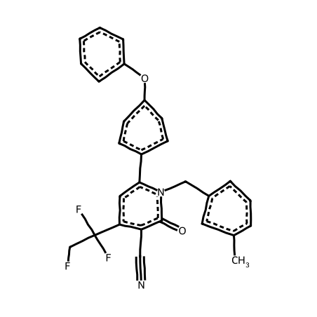 Cc1cccc(Cn2c(-c3ccc(Oc4ccccc4)cc3)cc(C(F)(F)CF)c(C#N)c2=O)c1